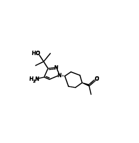 CC(=O)[C@H]1CC[C@H](n2cc(N)c(C(C)(C)O)n2)CC1